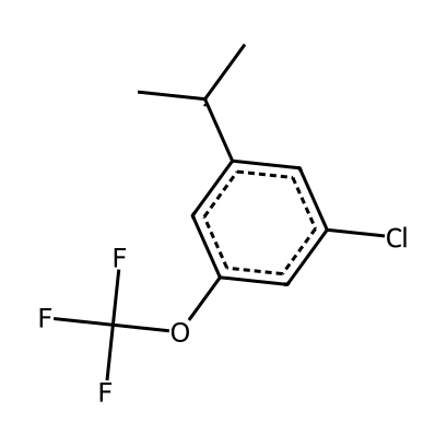 C[C](C)c1cc(Cl)cc(OC(F)(F)F)c1